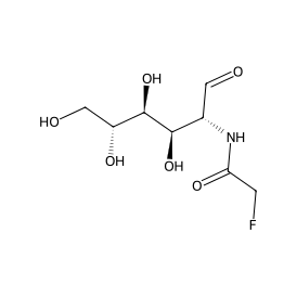 O=C[C@H](NC(=O)CF)[C@@H](O)[C@H](O)[C@H](O)CO